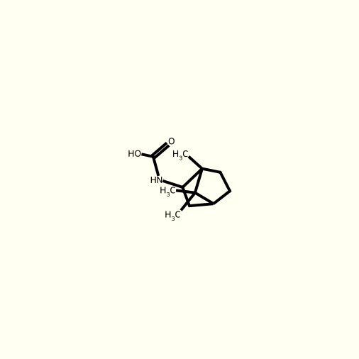 CC1(C)C2CCC1(C)C(NC(=O)O)C2